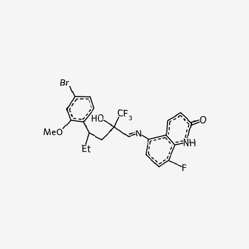 CCC(CC(O)(C=Nc1ccc(F)c2[nH]c(=O)ccc12)C(F)(F)F)c1ccc(Br)cc1OC